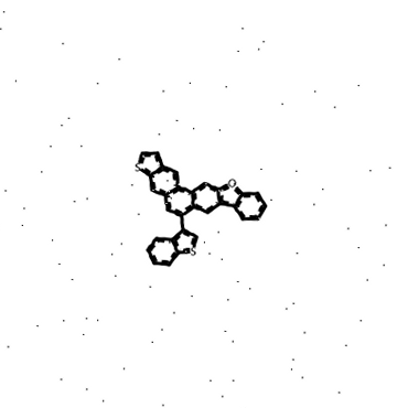 c1ccc2c(c1)oc1cc3c(cc12)c(-c1csc2ccccc12)cc1cc2sccc2cc13